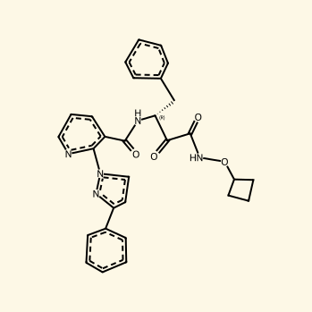 O=C(NOC1CCC1)C(=O)[C@@H](Cc1ccccc1)NC(=O)c1cccnc1-n1ccc(-c2ccccc2)n1